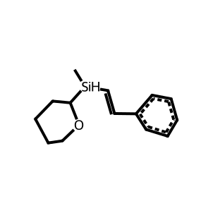 C[SiH](C=Cc1ccccc1)C1CCCCO1